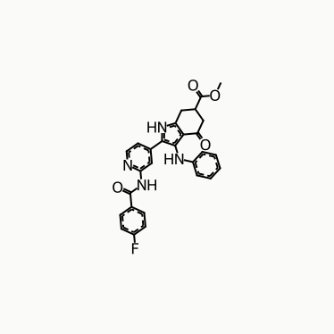 COC(=O)C1CC(=O)c2c([nH]c(-c3ccnc(NC(=O)c4ccc(F)cc4)c3)c2Nc2ccccc2)C1